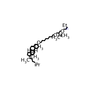 CC/C=C\COCC(COCCCCCCCCOC1CCC2(C)C(=CC[C@@H]3[C@@H]2CC[C@]2(C)[C@@H](C(C)CCCC(C)C)CC[C@@H]32)C1)N(C)C